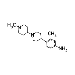 Cc1cc(N)ccc1C1CCN(C2CCN(C)CC2)CC1